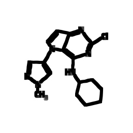 Cn1cc(-n2ccc3nc(Cl)nc(NC4CCCCC4)c32)cn1